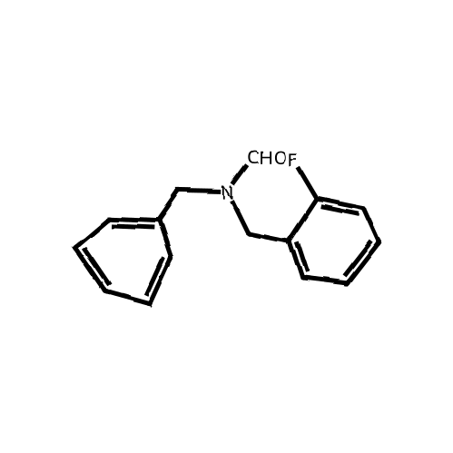 O=CN(Cc1ccccc1)Cc1ccccc1F